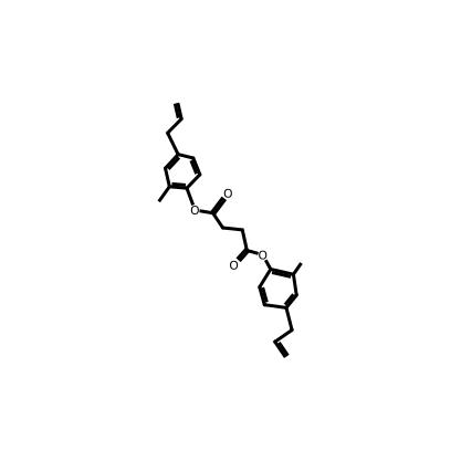 C=CCc1ccc(OC(=O)CCC(=O)Oc2ccc(CC=C)cc2C)c(C)c1